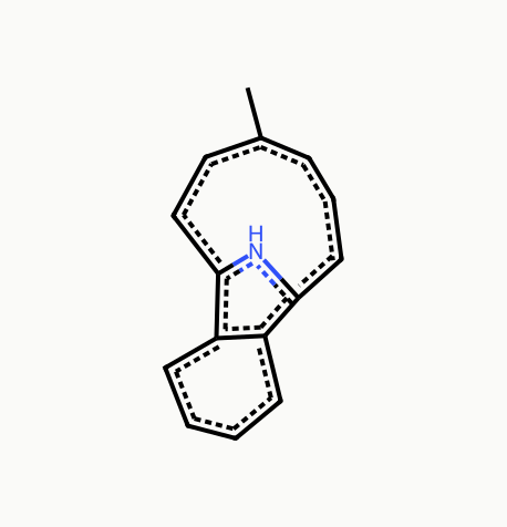 Cc1cccc2[nH]c(cc1)c1ccccc21